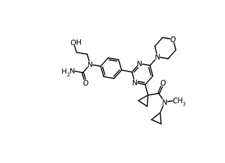 CN(C(=O)C1(c2cc(N3CCOCC3)nc(-c3ccc(N(CCO)C(N)=O)cc3)n2)CC1)C1CC1